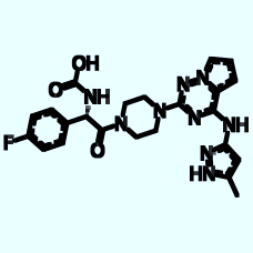 Cc1cc(Nc2nc(N3CCN(C(=O)[C@@H](NC(=O)O)c4ccc(F)cc4)CC3)nn3cccc23)n[nH]1